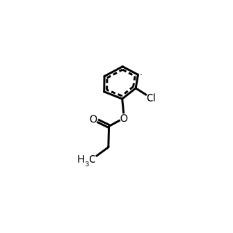 CCC(=O)Oc1ccc[c]c1Cl